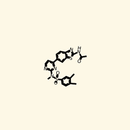 CC(=O)Nc1nc2ccc(-c3ccnc(N(C)S(=O)(=O)c4ccc(C)c(C)c4)n3)cc2s1